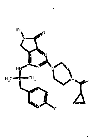 CC(C)N1Cc2c(NC(C)(C)Cc3ccc(Cl)cc3)nc(N3CCN(C(=O)C4CC4)CC3)nc2C1=O